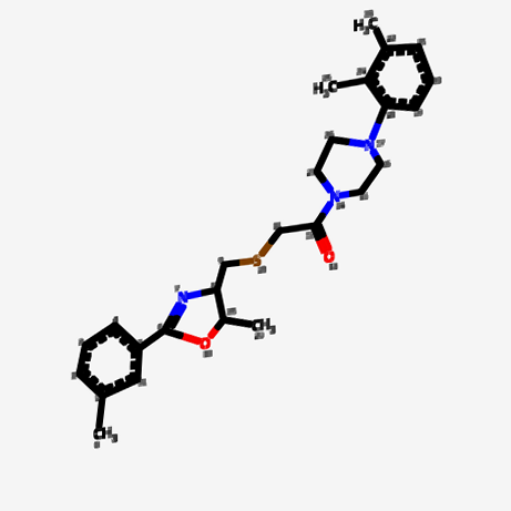 Cc1cccc(C2=NC(CSCC(=O)N3CCN(c4cccc(C)c4C)CC3)C(C)O2)c1